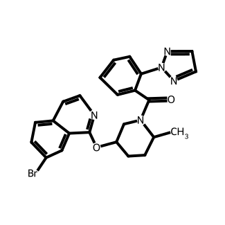 CC1CCC(Oc2nccc3ccc(Br)cc23)CN1C(=O)c1ccccc1-n1nccn1